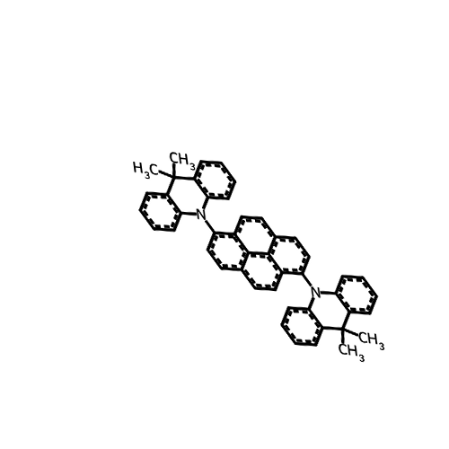 CC1(C)c2ccccc2N(c2ccc3ccc4c(N5c6ccccc6C(C)(C)c6ccccc65)ccc5ccc2c3c54)c2ccccc21